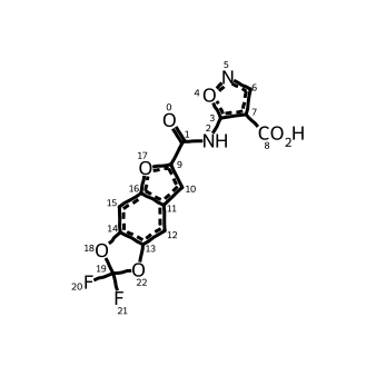 O=C(Nc1oncc1C(=O)O)c1cc2cc3c(cc2o1)OC(F)(F)O3